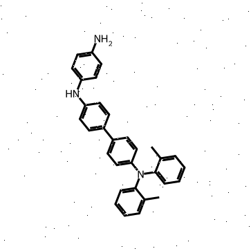 Cc1ccccc1N(c1ccc(-c2ccc(Nc3ccc(N)cc3)cc2)cc1)c1ccccc1C